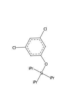 CC(C)[Si](Oc1cc(Cl)cc(Cl)c1)(C(C)C)C(C)C